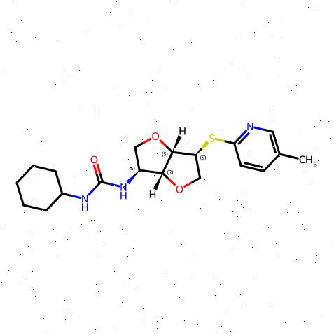 Cc1ccc(S[C@H]2CO[C@H]3[C@@H]2OC[C@@H]3NC(=O)NC2CCCCC2)nc1